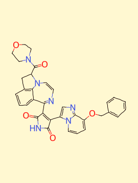 O=C1NC(=O)C(c2cnc3c(OCc4ccccc4)cccn23)=C1C1=NC=CN2c3c(cccc31)CC2C(=O)N1CCOCC1